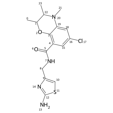 CC1Oc2c(C(=O)NCc3csc(N)n3)cc(Cl)cc2N(C)C1C